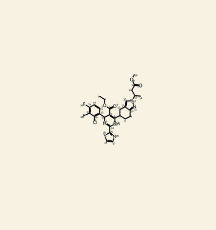 CCOC(=O)C1=C(C2CCc3nn(C(C)CC(=O)OC)cc3C2)NC(c2nccs2)=NC1c1ccc(F)c(F)c1Cl